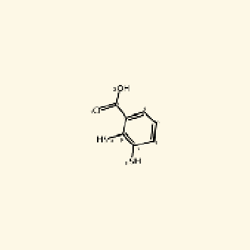 O=C(O)c1cccc(S)c1S